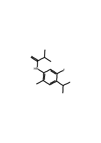 C=C(Nc1cc(F)c(C(C)C)cc1C)C(C)C